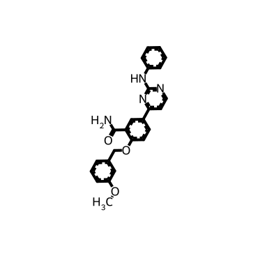 COc1cccc(COc2ccc(-c3ccnc(Nc4ccccc4)n3)cc2C(N)=O)c1